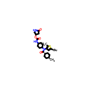 CC(C)(C)c1cc(N(C(=O)[C@H]2CC[C@H](C)CC2)C2CCC(NC(=O)O[C@H]3CNC(=O)C3)CC2)c(C(=O)O)s1